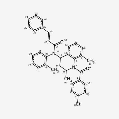 CCc1ccc(C(=O)N2c3c(C)cccc3C(N(C(=O)/C=C/c3ccccc3)c3ccccc3C)CC2C)cc1